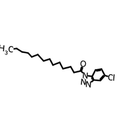 CCCCCCCCCCCCCC(=O)n1nnc2cc(Cl)ccc21